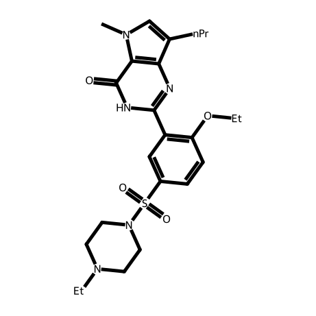 CCCc1cn(C)c2c(=O)[nH]c(-c3cc(S(=O)(=O)N4CCN(CC)CC4)ccc3OCC)nc12